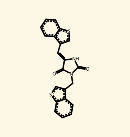 O=C1N/C(=C\c2csc3ccccc23)C(=O)N1Cc1csc2ccccc12